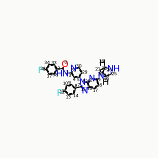 O=C(Nc1cc(-n2c(-c3ccc(F)cc3)nc3ccc(N4C[C@@H]5C[C@H]4CN5)nc32)ccn1)c1ccc(F)cc1